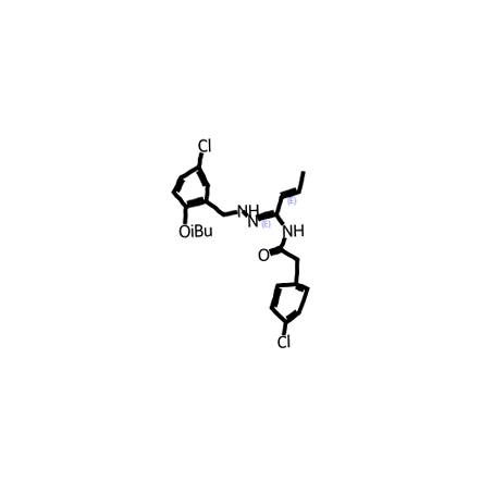 C/C=C/C(=N\NCc1cc(Cl)ccc1OCC(C)C)NC(=O)Cc1ccc(Cl)cc1